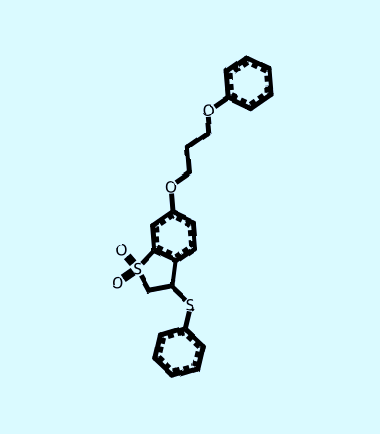 O=S1(=O)CC(Sc2ccccc2)c2ccc(OCCCOc3ccccc3)cc21